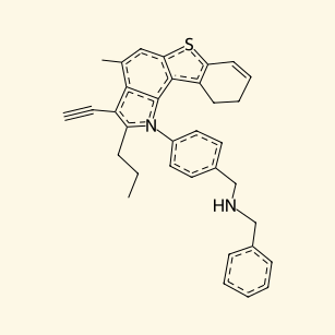 C#Cc1c(CCC)n(-c2ccc(CNCc3ccccc3)cc2)c2c1c(C)cc1sc3c(c12)CCC=C3